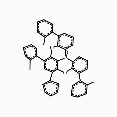 Cc1ccccc1-c1cccc2c1Oc1c(-c3ccccc3)cc(-c3ccccc3C)c3c1P2(=O)c1cccc(-c2ccccc2C)c1O3